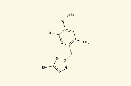 CCCCOc1cc(C)c(Cc2ccc(CC)s2)cc1Br